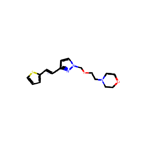 C(=C\c1cccs1)/c1ccn(COCCN2CCOCC2)n1